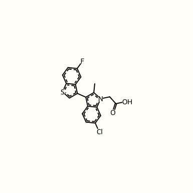 Cc1c(-c2csc3ccc(F)cc23)c2ccc(Cl)cc2n1CC(=O)O